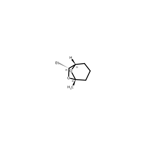 CC[C@H]1O[C@@]2(C)CCC[C@@H]1O2